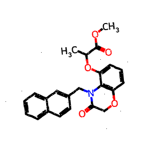 COC(=O)C(C)Oc1cccc2c1N(Cc1ccc3ccccc3c1)C(=O)CO2